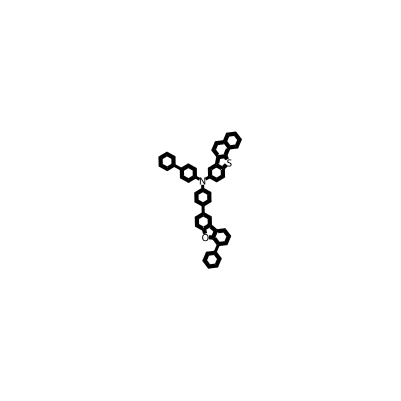 c1ccc(-c2ccc(N(c3ccc(-c4ccc5oc6c(-c7ccccc7)cccc6c5c4)cc3)c3ccc4sc5c6ccccc6ccc5c4c3)cc2)cc1